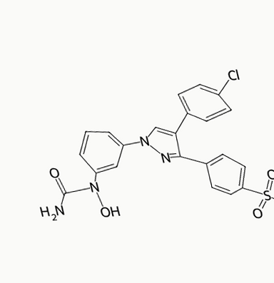 CS(=O)(=O)c1ccc(-c2nn(-c3cccc(N(O)C(N)=O)c3)cc2-c2ccc(Cl)cc2)cc1